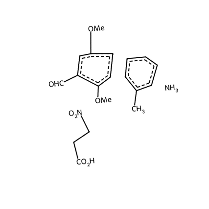 COc1ccc(OC)c(C=O)c1.Cc1ccccc1.N.O=C(O)CC[N+](=O)[O-]